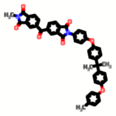 Cc1ccc(Oc2ccc(C(C)(C)c3ccc(Oc4ccc(N5C(=O)c6ccc(C(=O)c7ccc8c(c7)C(=O)N(C)C8=O)cc6C5=O)cc4)cc3)cc2)cc1